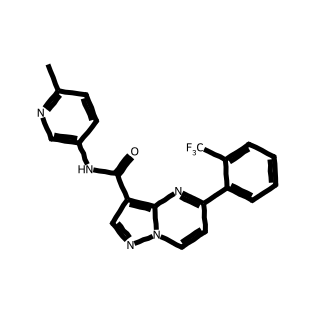 Cc1ccc(NC(=O)c2cnn3ccc(-c4ccccc4C(F)(F)F)nc23)cn1